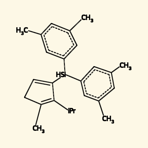 CC1=C(C(C)C)C([SiH](c2cc(C)cc(C)c2)c2cc(C)cc(C)c2)=CC1